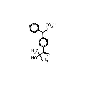 CC(C)(O)C(=O)c1ccc(C(CC(=O)O)c2ccccc2)cc1